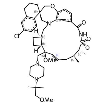 COCC(C)(C)N1CCN(C[C@@]2(OC)/C=C/C[C@H](C)[C@@H](C)S(=O)(=O)NC(=O)c3ccc4c(c3)N(C[C@@H]3CC[C@H]32)C[C@@]2(CCCc3cc(Cl)ccc32)CO4)CC1